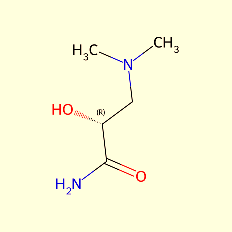 CN(C)C[C@@H](O)C(N)=O